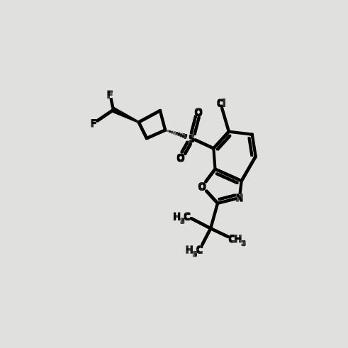 CC(C)(C)c1nc2ccc(Cl)c(S(=O)(=O)[C@H]3C[C@H](C(F)F)C3)c2o1